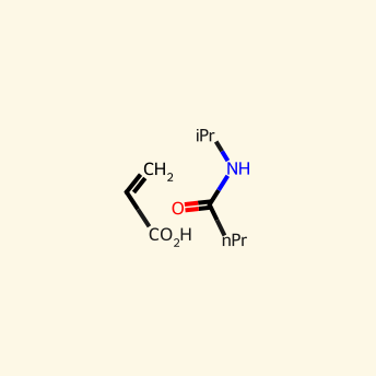 C=CC(=O)O.CCCC(=O)NC(C)C